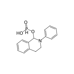 O=[PH](O)OC1c2ccccc2CCN1c1ccccc1